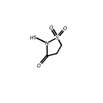 O=C1CCS(=O)(=O)N1S